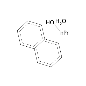 CCCO.O.c1ccc2ccccc2c1